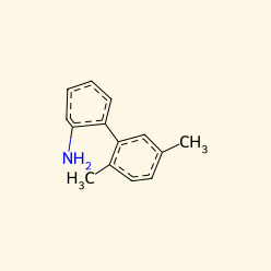 Cc1ccc(C)c(-c2ccccc2N)c1